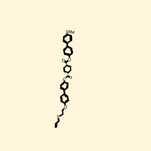 C=CCSCCOc1ccc(-c2ccc(OC(=O)[C@H]3CC[C@H](C(=O)Oc4ccc(-c5ccc(OC)cc5)cc4)CC3)cc2)cc1